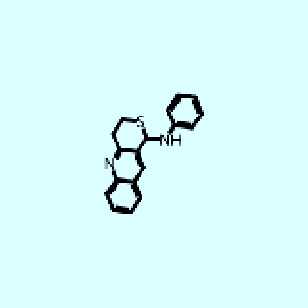 c1ccc(NC2SCCc3nc4ccccc4cc32)cc1